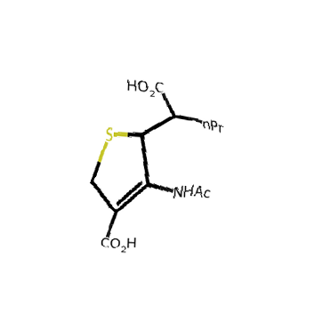 CCCC(C(=O)O)C1SCC(C(=O)O)=C1NC(C)=O